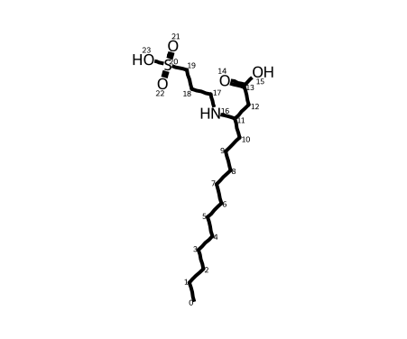 CCCCCCCCCCCC(CC(=O)O)NCCCS(=O)(=O)O